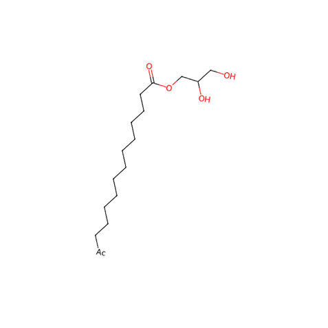 CC(=O)CCCCCCCCCCCC(=O)OCC(O)CO